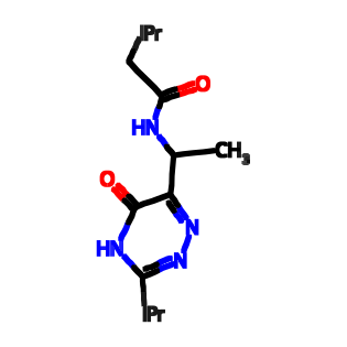 CC(C)CC(=O)NC(C)c1nnc(C(C)C)[nH]c1=O